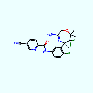 CC1(C)OCC(N)=N[C@](C)(c2cc(NC(=O)c3ccc(C#N)cn3)ccc2F)C1(F)F